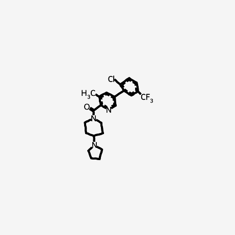 Cc1cc(-c2cc(C(F)(F)F)ccc2Cl)cnc1C(=O)N1CCC(N2CCCC2)CC1